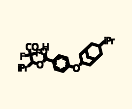 CC(C)C1CC2CC(CC(Oc3ccc(C(=O)OC(C(C)C)C(F)(F)C(=O)O)cc3)C2)C1